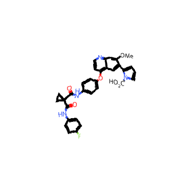 COc1cc2nccc(Oc3ccc(NC(=O)C4(C(=O)Nc5ccc(F)cc5)CC4)cc3)c2cc1-c1cccn1C(=O)O